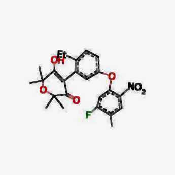 CCc1ccc(Oc2cc(F)c(C)cc2[N+](=O)[O-])cc1C1=C(O)C(C)(C)OC(C)(C)C1=O